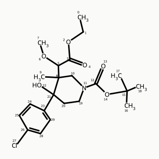 CCOC(=O)C(OC)C1(C)CN(C(=O)OC(C)(C)C)CCC1(O)c1ccc(Cl)cc1